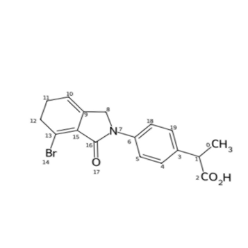 CC(C(=O)O)c1ccc(N2CC3=CCCC(Br)=C3C2=O)cc1